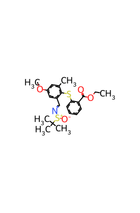 CCOC(=O)c1ccccc1Sc1c(C)cc(OC)cc1C=N[S+]([O-])C(C)(C)C